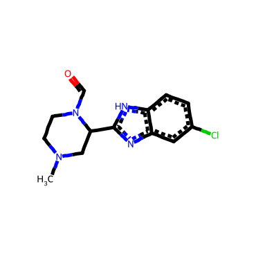 CN1CCN(C=O)C(c2nc3cc(Cl)ccc3[nH]2)C1